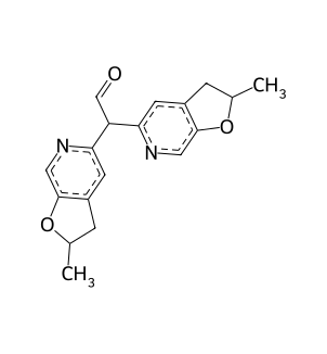 CC1Cc2cc(C(C=O)c3cc4c(cn3)OC(C)C4)ncc2O1